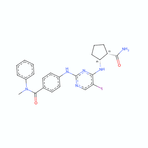 CN(C(=O)c1ccc(Nc2ncc(I)c(N[C@@H]3CCC[C@@H]3C(N)=O)n2)cc1)c1ccccc1